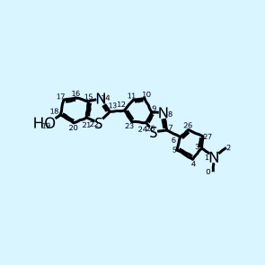 CN(C)c1ccc(-c2nc3ccc(-c4nc5ccc(O)cc5s4)cc3s2)cc1